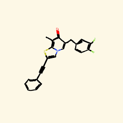 Cc1c(=O)c(Cc2ccc(F)c(F)c2)cn2cc(C#Cc3ccccc3)sc12